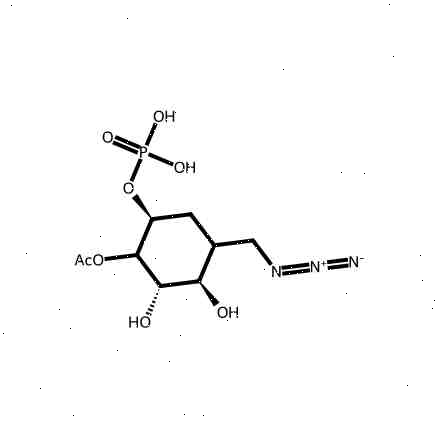 CC(=O)OC1[C@@H](OP(=O)(O)O)CC(CN=[N+]=[N-])[C@@H](O)[C@@H]1O